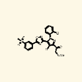 COCC(=O)c1nn(-c2ccccc2Cl)c(-c2noc(-c3cccc(S(C)(=O)=O)c3)n2)c1Cl